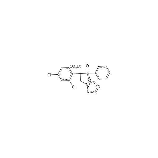 CCOC(=O)C(Cn1cncn1)(c1ccc(Cl)cc1Cl)S(=O)(=O)c1ccccc1